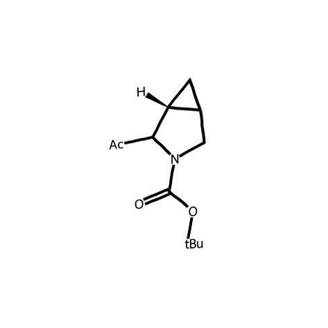 CC(=O)C1[C@@H]2CC2CN1C(=O)OC(C)(C)C